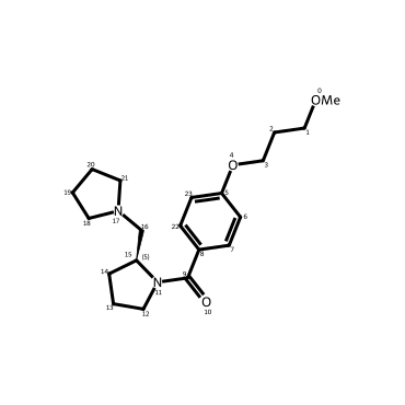 COCCCOc1ccc(C(=O)N2CCC[C@H]2CN2CCCC2)cc1